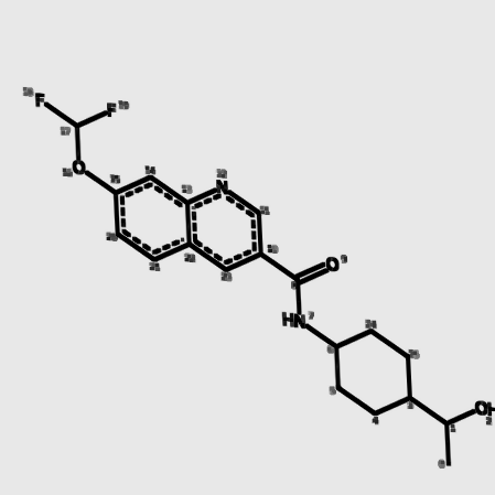 CC(O)C1CCC(NC(=O)c2cnc3cc(OC(F)F)ccc3c2)CC1